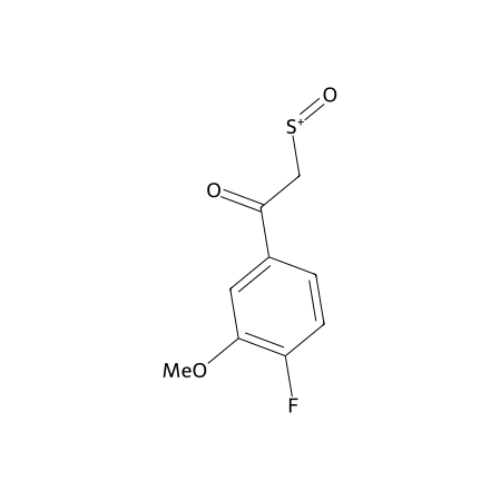 COc1cc(C(=O)C[S+]=O)ccc1F